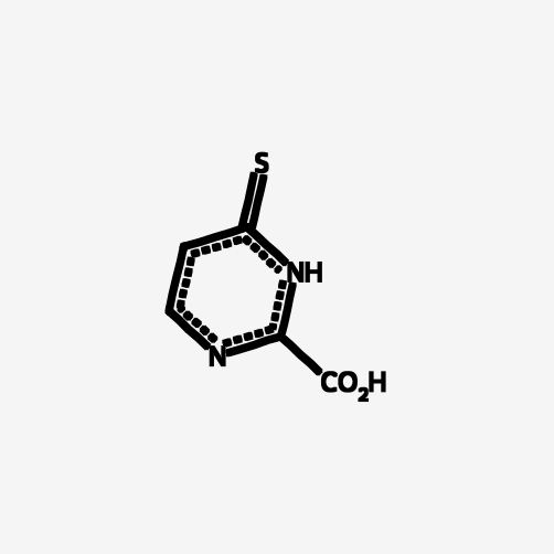 O=C(O)c1nccc(=S)[nH]1